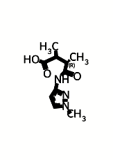 CC(C(=O)O)[C@@H](C)C(=O)Nc1ccn(C)n1